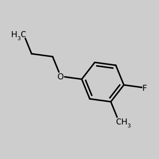 CCCOc1ccc(F)c(C)c1